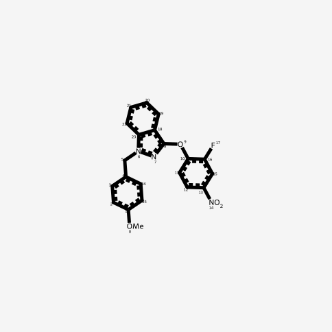 COc1ccc(Cn2nc(Oc3ccc([N+](=O)[O-])cc3F)c3ccccc32)cc1